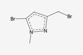 Cn1nc(CBr)cc1Br